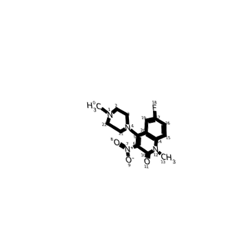 CN1CCN(c2c([N+](=O)[O-])c(=O)n(C)c3ccc(F)cc23)CC1